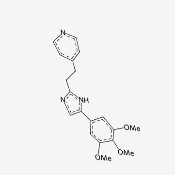 COc1cc(-c2cnc(CCc3ccncc3)[nH]2)cc(OC)c1OC